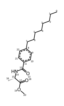 CCCCCCCCc1ccc(C(=O)N[C@@H](C)C(=O)OC)cc1